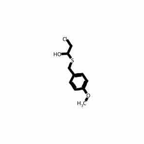 COc1ccc(CSC(O)CCl)cc1